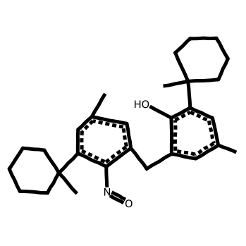 Cc1cc(Cc2cc(C)cc(C3(C)CCCCC3)c2N=O)c(O)c(C2(C)CCCCC2)c1